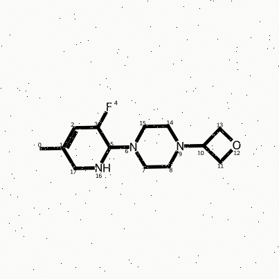 CC1=CC(F)C(N2CCN(C3COC3)CC2)NC1